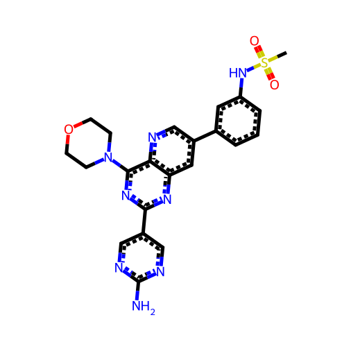 CS(=O)(=O)Nc1cccc(-c2cnc3c(N4CCOCC4)nc(-c4cnc(N)nc4)nc3c2)c1